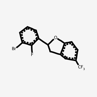 Fc1c(Br)cccc1C1Cc2cc(C(F)(F)F)ccc2O1